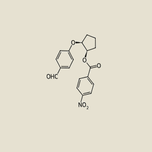 O=Cc1ccc(O[C@H]2CCC[C@H]2OC(=O)c2ccc([N+](=O)[O-])cc2)cc1